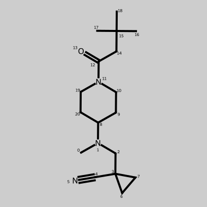 CN(CC1(C#N)CC1)C1CCN(C(=O)CC(C)(C)C)CC1